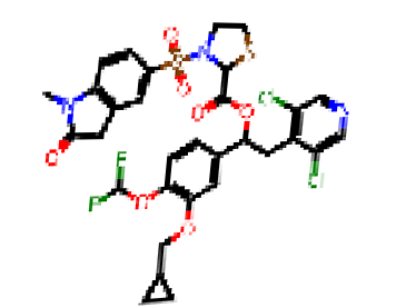 CN1C(=O)Cc2cc(S(=O)(=O)N3CCSC3C(=O)OC(Cc3c(Cl)cncc3Cl)c3ccc(OC(F)F)c(OCC4CC4)c3)ccc21